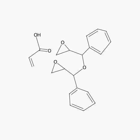 C=CC(=O)O.c1ccc(C(OC(c2ccccc2)C2CO2)C2CO2)cc1